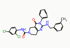 Cc1cccc(CNc2nc3c(c(=O)n2-c2ccccc2)CN(C(=O)Nc2ccc(Cl)cc2Cl)CC3)c1